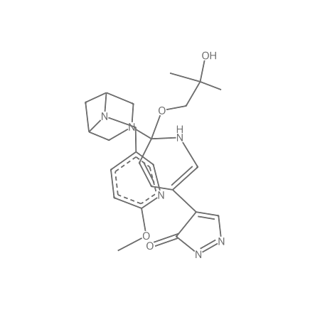 COc1ccc(CN2C3CC2CN(C2(OCC(C)(C)O)C=CC(C4=CN=NC4=O)=CN2)C3)cn1